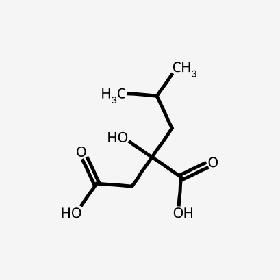 CC(C)CC(O)(CC(=O)O)C(=O)O